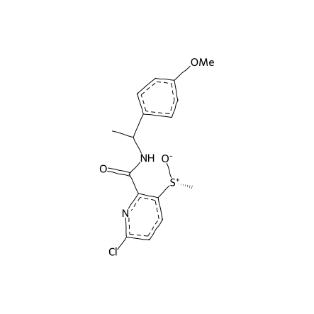 COc1ccc(C(C)NC(=O)c2nc(Cl)ccc2[S@@+](C)[O-])cc1